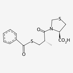 C[C@H](CSC(=O)c1ccccc1)C(=O)N1CSC[C@H]1C(=O)O